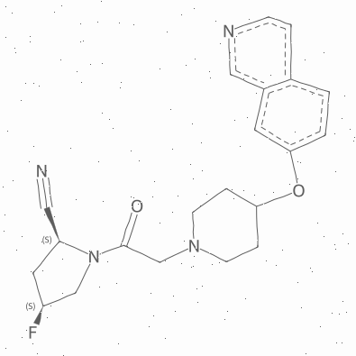 N#C[C@@H]1C[C@H](F)CN1C(=O)CN1CCC(Oc2ccc3ccncc3c2)CC1